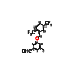 Cc1cc(C=O)cc(OCc2cc(C(F)(F)F)ccc2C(F)(F)F)c1